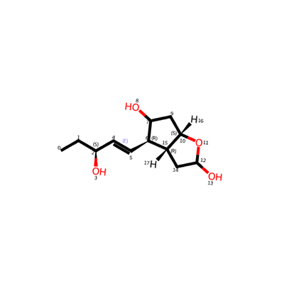 CC[C@H](O)/C=C/[C@H]1C(O)C[C@@H]2OC(O)C[C@@H]21